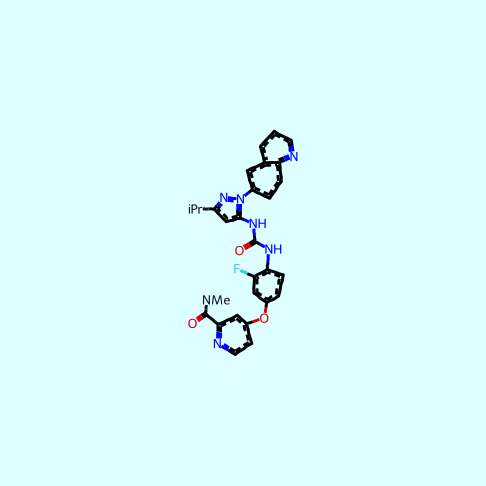 CNC(=O)c1cc(Oc2ccc(NC(=O)Nc3cc(C(C)C)nn3-c3ccc4ncccc4c3)c(F)c2)ccn1